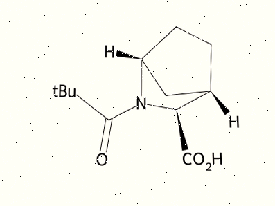 CC(C)(C)C(=O)N1[C@@H]2CC[C@@H](C2)[C@H]1C(=O)O